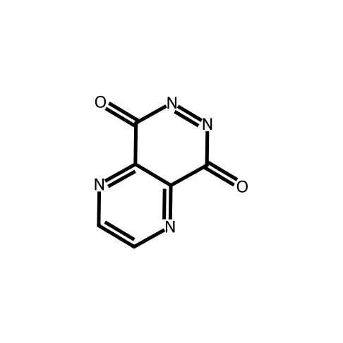 O=C1N=NC(=O)c2nccnc21